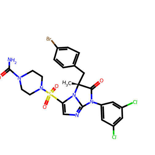 C[C@@]1(Cc2ccc(Br)cc2)C(=O)N(c2cc(Cl)cc(Cl)c2)c2ncc(S(=O)(=O)N3CCN(C(N)=O)CC3)n21